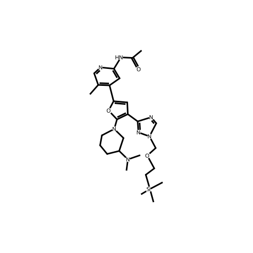 CC(=O)Nc1cc(-c2cc(-c3ncn(COCC[Si](C)(C)C)n3)c(N3CCCC(N(C)C)C3)o2)c(C)cn1